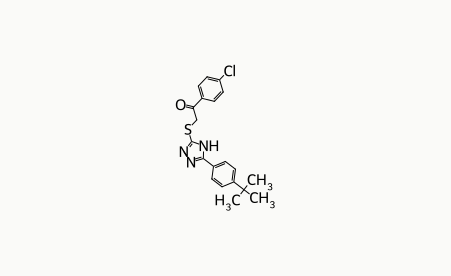 CC(C)(C)c1ccc(-c2nnc(SCC(=O)c3ccc(Cl)cc3)[nH]2)cc1